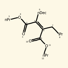 CCCCCCCCCC/C(C(=O)OCCC)=C(\CC(C)C)C(=O)OCCC